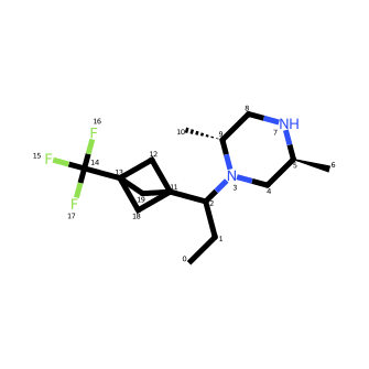 CCC(N1C[C@H](C)NC[C@H]1C)C12CC(C(F)(F)F)(C1)C2